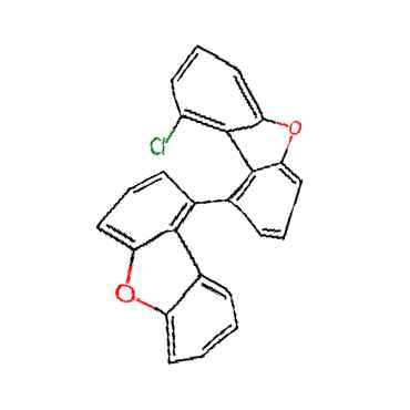 Clc1cccc2oc3cccc(-c4cccc5oc6ccccc6c45)c3c12